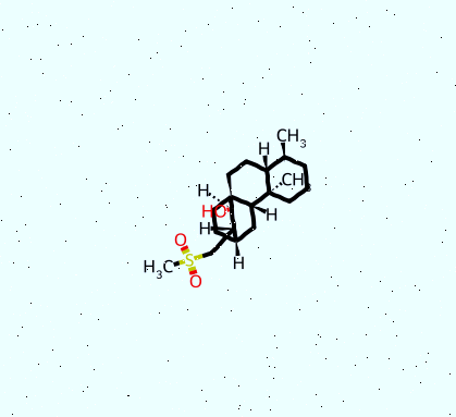 C[C@H]1CCC[C@]2(C)[C@@H]1CC[C@@]13CC[C@@H](C[C@@H]21)[C@H](CS(C)(=O)=O)[C@H]3O